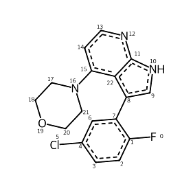 Fc1ccc(Cl)cc1-c1c[nH]c2nccc(N3CCOCC3)c12